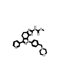 COC(=O)Nc1nc2c(s1)-c1c(c(-c3cccnc3)nn1-c1ccc(CN3CCOCC3)cc1)CC2